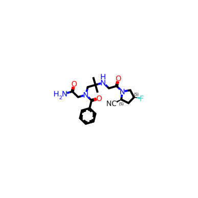 CC(C)(CN(CC(N)=O)C(=O)c1ccccc1)NCC(=O)N1C[C@@H](F)C[C@H]1C#N